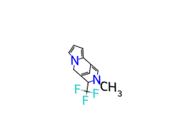 CN1C=C2C=C(Cn3cccc32)C1C(F)(F)F